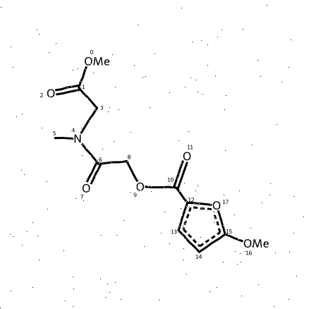 COC(=O)CN(C)C(=O)COC(=O)c1ccc(OC)o1